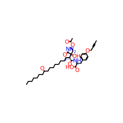 CC#CCOc1ccc(C[C@H](NC(=O)[C@@H](/C=C/CCCCCCC(=O)CCCCCCC)[C@@](O)(CCOC(C)=O)C(N)=O)C(=O)O)cc1